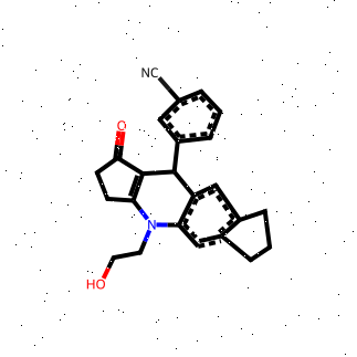 N#Cc1cccc(C2C3=C(CCC3=O)N(CCO)c3cc4c(cc32)CCC4)c1